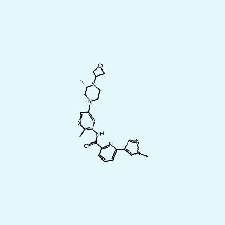 Cc1ncc(N2CCN(C3COC3)[C@@H](C)C2)cc1NC(=O)c1cccc(-c2cnn(C)c2)n1